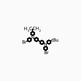 C=C(C)c1ccc(N(c2ccc(Br)cc2)c2ccc(-c3ccc(N(c4ccc(Br)cc4)c4ccc(C(C)(C)C)cc4)cc3)cc2)cc1